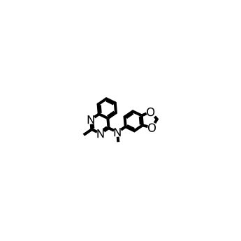 Cc1nc(N(C)c2ccc3c(c2)OCO3)c2ccccc2n1